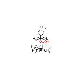 CC1CCC(C(C)(C)OC(O)C(C)(CC(C)(C)C)C(C)C)CC1